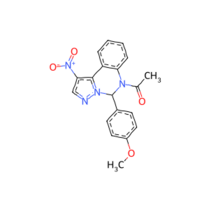 COc1ccc(C2N(C(C)=O)c3ccccc3-c3c([N+](=O)[O-])cnn32)cc1